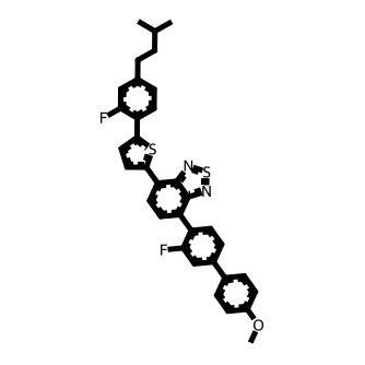 COc1ccc(-c2ccc(-c3ccc(-c4ccc(-c5ccc(CCC(C)C)cc5F)s4)c4nsnc34)c(F)c2)cc1